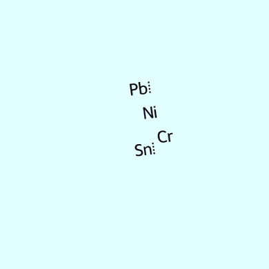 [Cr].[Ni].[Pb].[Sn]